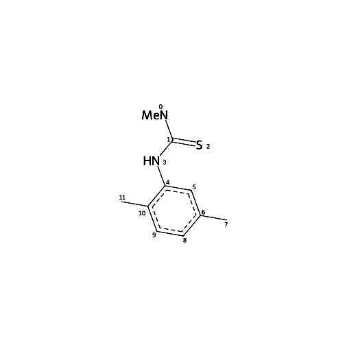 CNC(=S)Nc1cc(C)ccc1C